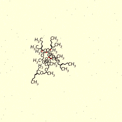 CCCC=C(CC)COCC(C)OCC(C)O[Si](OC(C)COC(C)COCC(=CCCC)CC)(OC(C)COC(C)COCC(=CCCC)CC)OC(C)COC(C)COCC(=CCCC)CC